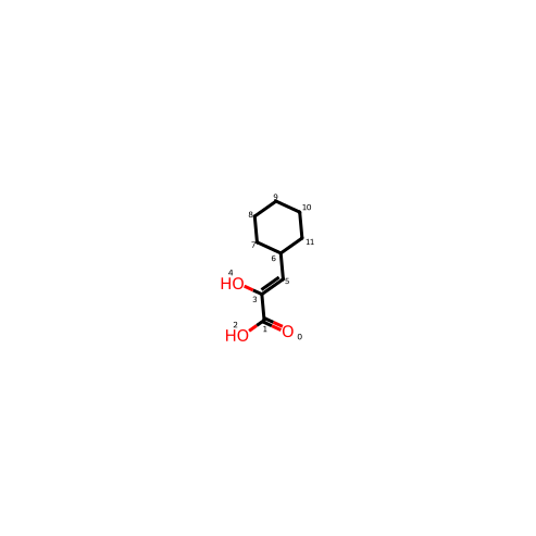 O=C(O)C(O)=CC1CCCCC1